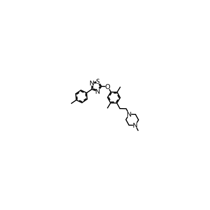 Cc1ccc(-c2nsc(Oc3cc(C)c(CCN4CCN(C)CC4)cc3C)n2)cc1